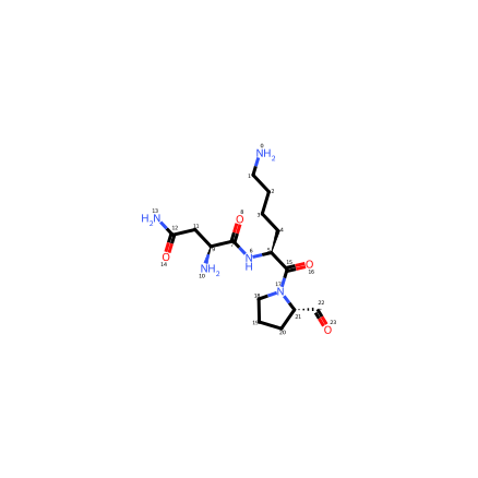 NCCCC[C@H](NC(=O)[C@@H](N)CC(N)=O)C(=O)N1CCC[C@H]1[C]=O